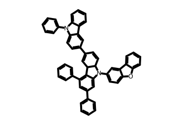 C1=CC2C(C=C1c1ccc3c(c1)c1ccccc1n3-c1ccccc1)c1c(-c3ccccc3)cc(-c3ccccc3)cc1N2c1ccc2oc3ccccc3c2c1